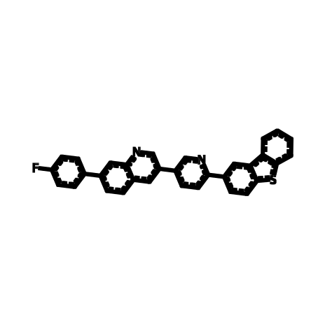 Fc1ccc(-c2ccc3cc(-c4ccc(-c5ccc6sc7ccccc7c6c5)nc4)cnc3c2)cc1